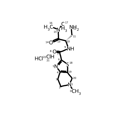 CN1CCc2nc(C(=O)N[C@@H](CN)C(=O)N(C)C)sc2C1.Cl.Cl